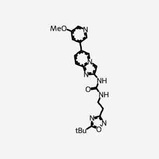 COc1cncc(-c2ccc3nc(NC(=O)NCCc4noc(C(C)(C)C)n4)cn3c2)c1